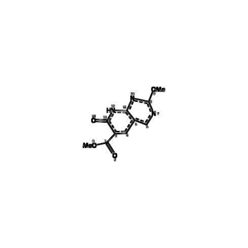 COC(=O)c1cc2cnc(OC)nc2[nH]c1=O